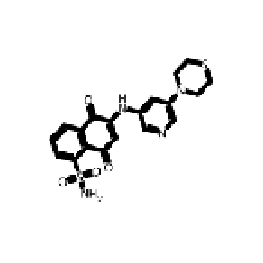 NS(=O)(=O)c1cccc2c1C(=O)C=C(Nc1cncc(N3CCSCC3)c1)C2=O